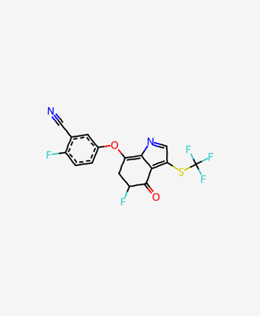 N#Cc1cc(OC2=C3N=CC(SC(F)(F)F)=C3C(=O)C(F)C2)ccc1F